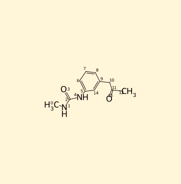 CNC(=O)Nc1cccc(CC(C)=O)c1